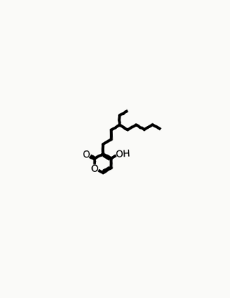 CCCCCC(CC)CCCc1c(O)ccoc1=O